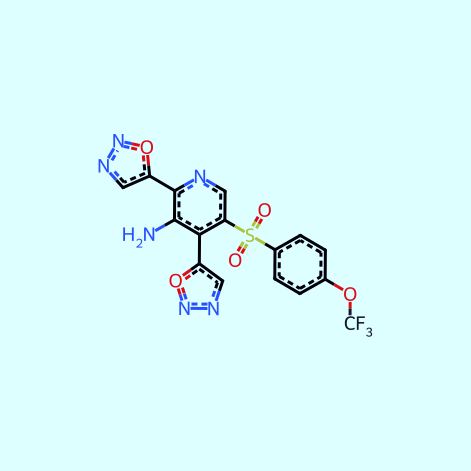 Nc1c(-c2cnno2)ncc(S(=O)(=O)c2ccc(OC(F)(F)F)cc2)c1-c1cnno1